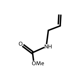 C=CCNC(=O)OC